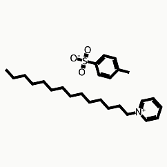 CCCCCCCCCCCCCC[n+]1ccccc1.Cc1ccc(S(=O)(=O)[O-])cc1